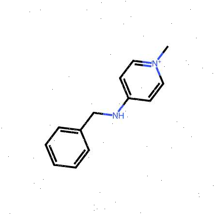 C[n+]1ccc(NCc2ccccc2)cc1